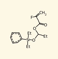 C=C(F)C(=O)OC(CC)O[Si](CC)(CC)c1ccccc1